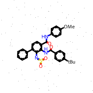 COc1ccc(NC(=O)c2ccc(-c3ccccc3)c(N=S(=O)=O)c2NC(=O)c2ccc(C(C)(C)C)cc2)cc1